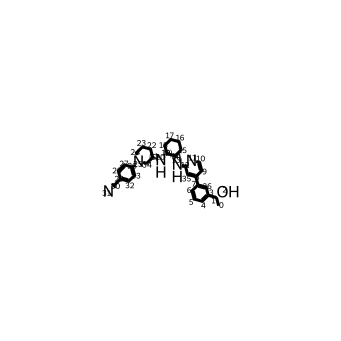 CC(O)c1cccc(-c2ccnc(N[C@@H]3CCCC[C@H]3N[C@H]3CCCN(c4ccc(C#N)cc4)C3)c2)c1